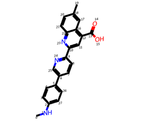 CNc1ccc(-c2ccc(-c3cc(C(=O)O)c4cc(C)ccc4n3)nc2)cc1